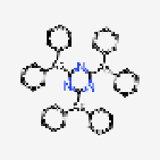 c1ccc([As](c2ccccc2)c2nc([As](c3ccccc3)c3ccccc3)nc([As](c3ccccc3)c3ccccc3)n2)cc1